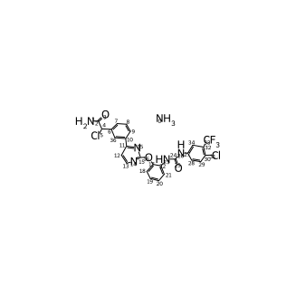 N.NC(=O)C(Cl)c1cccc(-c2ccnc(Oc3ccccc3NC(=O)Nc3ccc(Cl)c(C(F)(F)F)c3)n2)c1